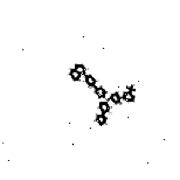 CC(C)(C)c1cccc(-c2ccc(N(c3ccc(-c4ccccc4)cc3)c3ccc(-c4ccc(-c5cccc6ccccc56)cc4)cc3)cc2)c1